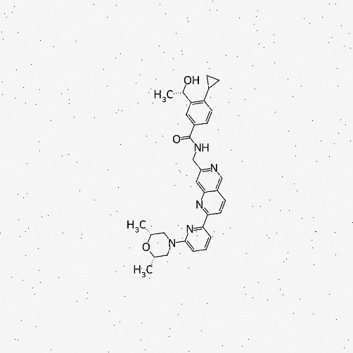 C[C@@H]1CN(c2cccc(-c3ccc4cnc(CNC(=O)c5ccc(C6CC6)c([C@H](C)O)c5)cc4n3)n2)C[C@H](C)O1